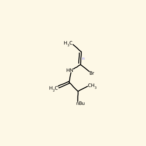 C=C(N/C(Br)=C\C)C(C)CCCC